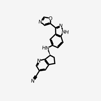 N#Cc1cnc2c(c1)CC[C@@H]2Nc1ccc2[nH]nc(-c3cnco3)c2c1